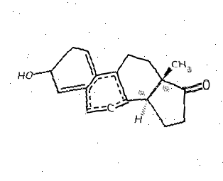 C[C@]12CCc3c(ccc4c3=CCC(O)C=4)[C@@H]1CCC2=O